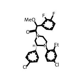 CCc1cc(Cl)ccc1N1CCN(C(=O)C(OC)c2cccc(F)c2F)C[C@H]1c1ccc(Cl)cc1